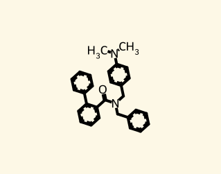 CN(C)c1ccc(CN(Cc2ccccc2)C(=O)c2ccccc2-c2ccccc2)cc1